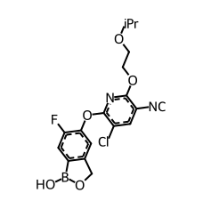 [C-]#[N+]c1cc(Cl)c(Oc2cc3c(cc2F)B(O)OC3)nc1OCCOC(C)C